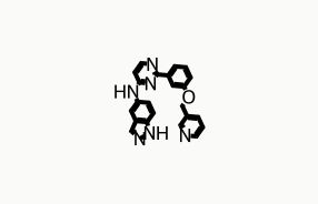 c1cncc(COc2cccc(-c3nccc(Nc4ccc5[nH]ncc5c4)n3)c2)c1